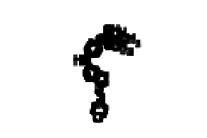 CC(C)(C)[Si](C)(C)Oc1ccc(Nc2ccc3c(c2)CCN3CCN2CCOCC2)cc1